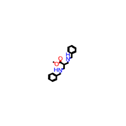 COC(=O)C(CNCc1ccccc1)CNCc1ccccc1